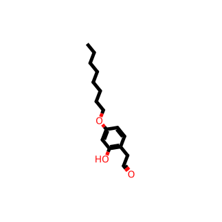 CCCCCCCCOc1ccc(CC=O)c(O)c1